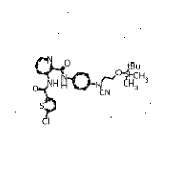 CC(C)(C)[Si](C)(C)OCCN(C#N)c1ccc(NC(=O)c2ncccc2NC(=O)c2ccc(Cl)s2)cc1